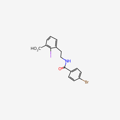 O=C(NCCc1cccc(C(=O)O)c1I)c1ccc(Br)cc1